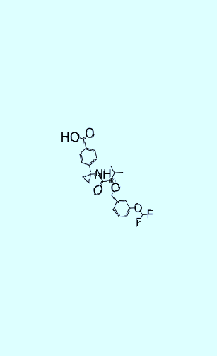 CC(C)[C@@H](OCc1cccc(OC(F)F)c1)C(=O)NC1(c2ccc(C(=O)O)cc2)CC1